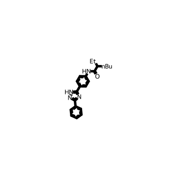 CCCCC(CC)C(=O)Nc1ccc(-c2nc(-c3ccccc3)n[nH]2)cc1